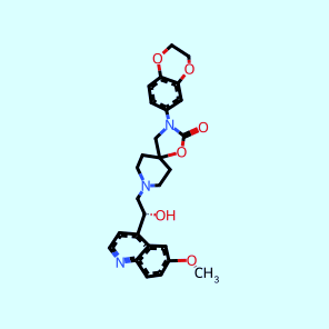 COc1ccc2nccc([C@@H](O)CN3CCC4(CC3)CN(c3ccc5c(c3)OCCO5)C(=O)O4)c2c1